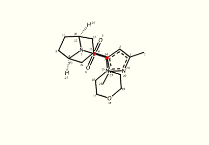 Cc1cc(S(=O)(=O)N2[C@@H]3CC[C@H]2CC(CN2CCOCC2)C3)n(C)n1